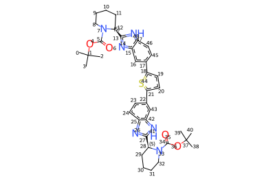 CC(C)(C)OC(=O)N1CCCC[C@H]1c1nc2cc(-c3ccc(-c4ccc5nc([C@@H]6CCCCN6C(=O)OC(C)(C)C)[nH]c5c4)s3)ccc2[nH]1